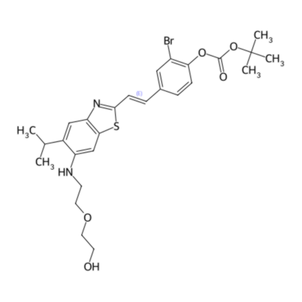 CC(C)c1cc2nc(/C=C/c3ccc(OC(=O)OC(C)(C)C)c(Br)c3)sc2cc1NCCOCCO